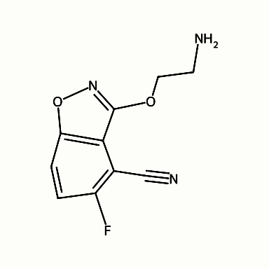 N#Cc1c(F)ccc2onc(OCCN)c12